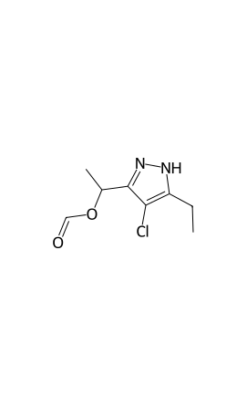 CCc1[nH]nc(C(C)OC=O)c1Cl